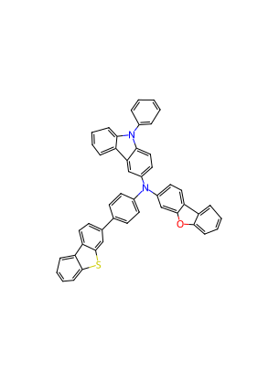 c1ccc(-n2c3ccccc3c3cc(N(c4ccc(-c5ccc6c(c5)sc5ccccc56)cc4)c4ccc5c(c4)oc4ccccc45)ccc32)cc1